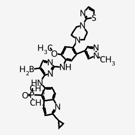 Bc1cnc(Nc2cc(-c3cnn(C)c3)c(N3CCN(c4nccs4)CC3)cc2OC)nc1Nc1ccc2nc(C3CC3)ccc2c1P(C)(C)=O